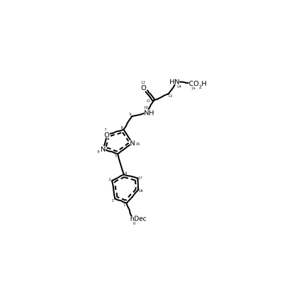 CCCCCCCCCCc1ccc(-c2noc(CNC(=O)CNC(=O)O)n2)cc1